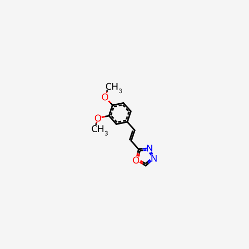 COc1ccc(C=Cc2nnco2)cc1OC